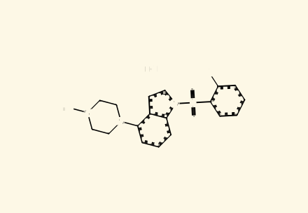 Cc1ccccc1S(=O)(=O)n1ccc2c(N3CCN(C(C)C)CC3)cccc21.Cl